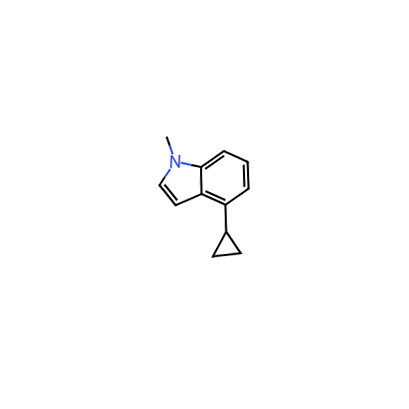 Cn1ccc2c(C3CC3)cccc21